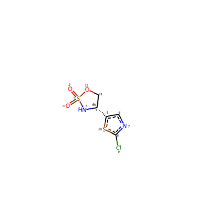 O=S1(=O)N[C@@H](c2cnc(Cl)s2)CO1